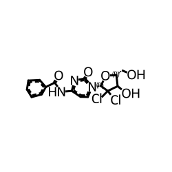 O=C(Nc1ccn([C@@H]2O[C@H](CO)C(O)C2(Cl)Cl)c(=O)n1)c1ccccc1